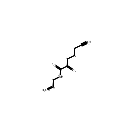 C#CCCCC(=O)C(=O)NCC=C